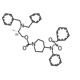 C[C@@H](COC(=O)N1CCC(N(c2ccccc2)S(=O)(=O)c2ccccc2)CC1)N(Cc1ccccc1)Cc1ccccc1